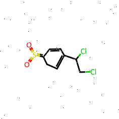 O=S(=O)=C1C=CC(C(Cl)CCl)=CC1